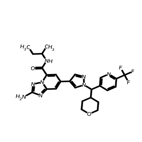 CCC(C)NC(=O)c1cc(-c2cnn(C(c3ccc(C(F)(F)F)nc3)C3CCOCC3)c2)cc2nc(N)nn12